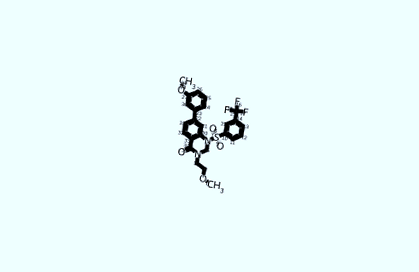 COCCN1CN(S(=O)(=O)c2cccc(C(F)(F)F)c2)c2cc(-c3cccc(OC)c3)ccc2C1=O